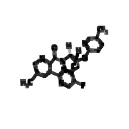 Cc1cnc(C(=O)N2CC3CC[C@H]2[C@H](Oc2ccc(C(F)(F)F)cn2)C3)c(-c2ncc(F)cn2)c1